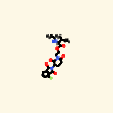 CCN[C@H](C(=O)OCCN1C(=O)CCC(N2C(=O)c3cccc(F)c3C2=O)C1=O)C(C)C